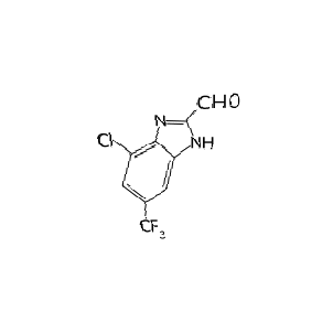 O=Cc1nc2c(Cl)cc(C(F)(F)F)cc2[nH]1